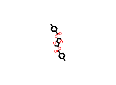 Cc1ccc(C(=O)O[C@@H]2COC3C2OC[C@H]3OC(=O)c2ccc(C)cc2)cc1